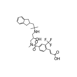 CN(C[C@H](O)CNC(C)(C)CC1Cc2ccccc2C1)S(=O)(=O)c1ccc(/C=C/C(=O)O)c(C(F)(F)F)c1